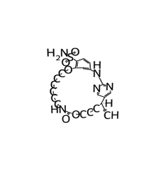 C#C[C@H]1CCCOC(=O)NCCCCCCOc2cc(ccc2S(N)(=O)=O)Nc2ncc1cn2